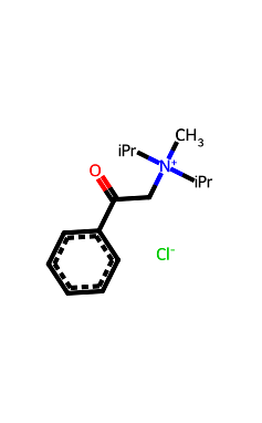 CC(C)[N+](C)(CC(=O)c1ccccc1)C(C)C.[Cl-]